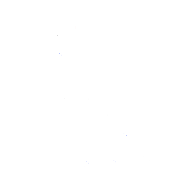 Cc1nc(N)c(CCCC(C)(C)C2CCN(C(=O)O)CC2)c(Cl)n1